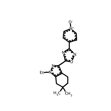 CCn1nc(-c2nc(-c3cc[n+]([O-])cc3)no2)c2c1CC(C)(C)CC2